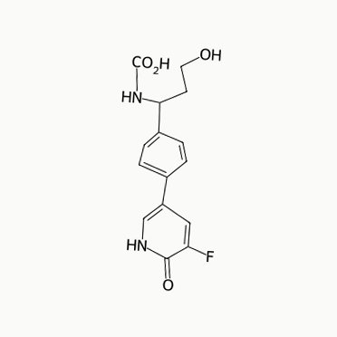 O=C(O)NC(CCO)c1ccc(-c2c[nH]c(=O)c(F)c2)cc1